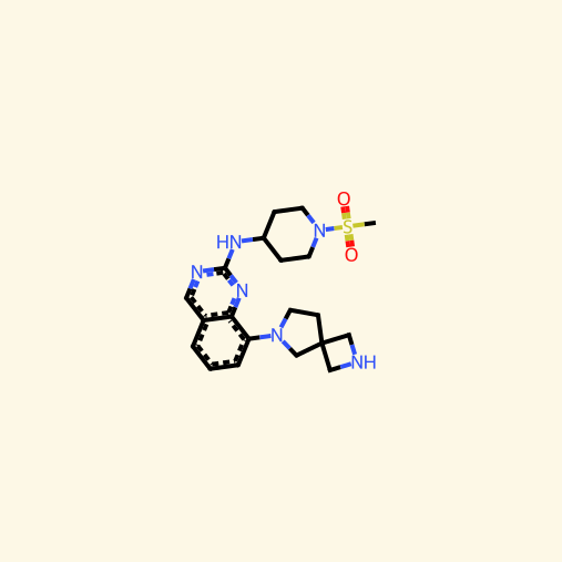 CS(=O)(=O)N1CCC(Nc2ncc3cccc(N4CCC5(CNC5)C4)c3n2)CC1